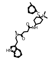 Cc1cccc(CC2(N(C)C)CCC(NC(=O)CCC(=O)N(C)CCc3c[nH]c4ccccc34)CC2)c1